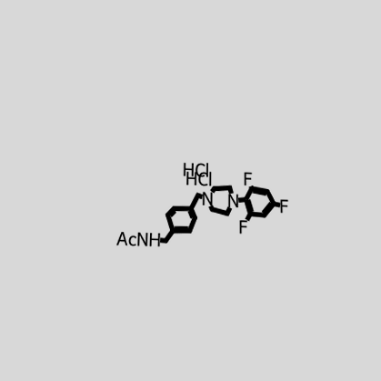 CC(=O)NCc1ccc(CN2CCN(c3c(F)cc(F)cc3F)CC2)cc1.Cl.Cl